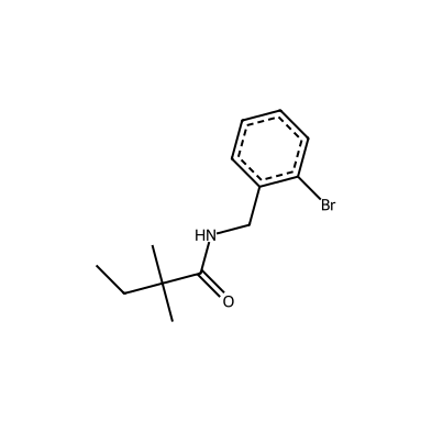 CCC(C)(C)C(=O)NCc1ccccc1Br